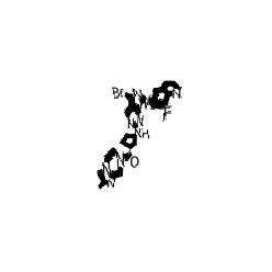 Cc1cn2c(n1)CN(C(=O)[C@@H]1CC[C@@H](Nc3ncc4c(Br)nn(-c5cc(F)c6ncccc6c5)c4n3)C1)CC2